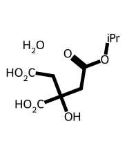 CC(C)OC(=O)CC(O)(CC(=O)O)C(=O)O.O